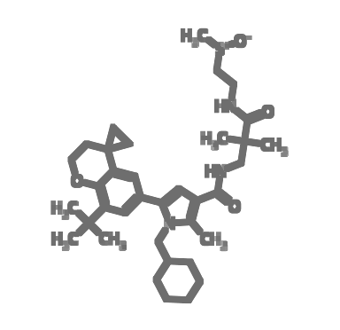 Cc1c(C(=O)NCC(C)(C)C(=O)NCC[S+](C)[O-])cc(-c2cc(C(C)(C)C)c3c(c2)C2(CCO3)CC2)n1CC1CCCCC1